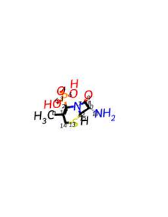 CC1=C(P(=O)(O)O)N2C(=O)[C@H](N)[C@H]2SC1